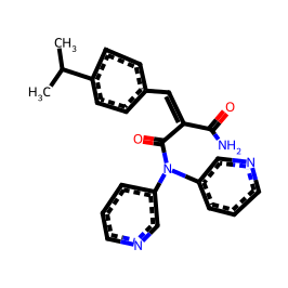 CC(C)c1ccc(C=C(C(N)=O)C(=O)N(c2cccnc2)c2cccnc2)cc1